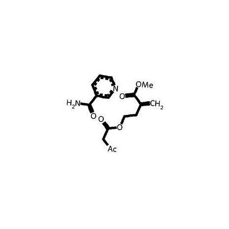 C=C(CCOC(=O)CC(C)=O)C(=O)OC.NC(=O)c1cccnc1